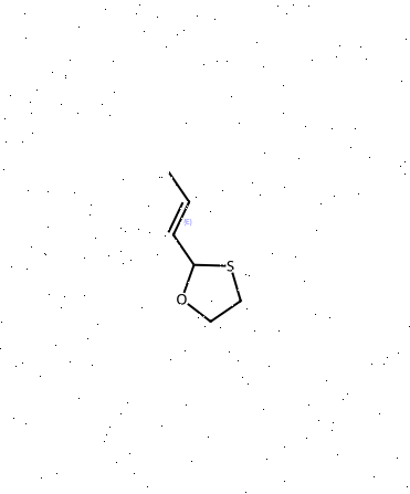 C/C=C/C1OCCS1